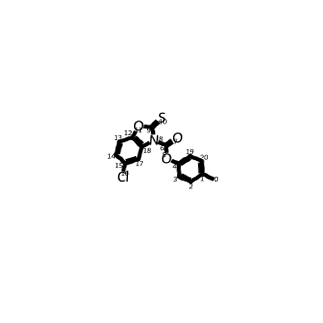 Cc1ccc(OC(=O)n2c(=S)oc3ccc(Cl)cc32)cc1